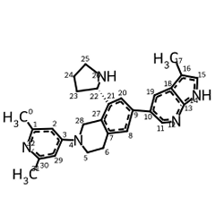 Cc1cc(N2CCc3cc(-c4cnc5[nH]cc(C)c5c4)cc([C@@H]4CCCN4)c3C2)cc(C)n1